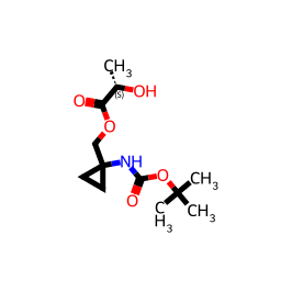 C[C@H](O)C(=O)OCC1(NC(=O)OC(C)(C)C)CC1